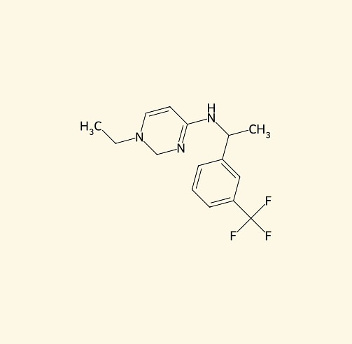 CCN1C=CC(NC(C)c2cccc(C(F)(F)F)c2)=NC1